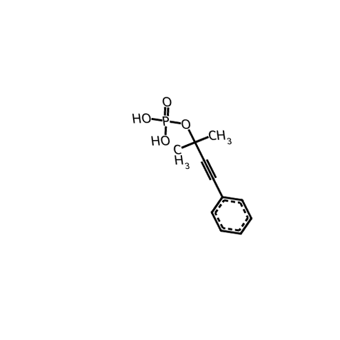 CC(C)(C#Cc1ccccc1)OP(=O)(O)O